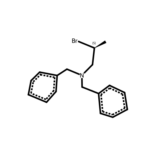 C[C@H](Br)CN(Cc1ccccc1)Cc1ccccc1